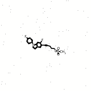 CS(=O)(=O)OCCCC#Cc1cc2ccn(-c3ccc(F)cc3)c2cc1F